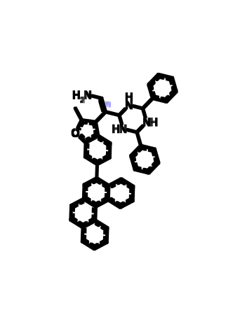 Cc1oc2cc(-c3cc4ccc5ccccc5c4c4ccccc34)ccc2c1/C(=C\N)C1NC(c2ccccc2)NC(c2ccccc2)N1